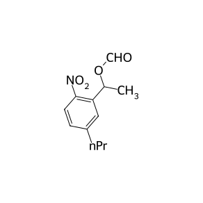 CCCc1ccc([N+](=O)[O-])c(C(C)OC=O)c1